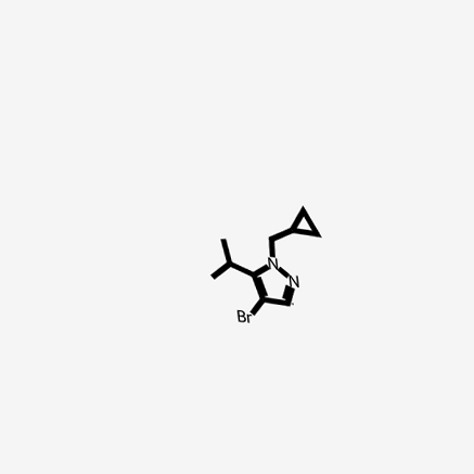 CC(C)c1c(Br)[c]nn1CC1CC1